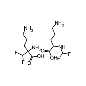 NCCCC(N)(C(=O)O)C(F)F.NCCCC(NC(F)F)C(=O)O